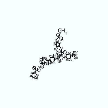 CCOC(=O)Cn1cc2c(n1)CCN(C(=O)[C@H](Cc1ccc([N+](=O)[O-])cc1)NC(=O)c1ccc(C(=N)NC(=O)OCOC(=O)c3cccnc3)cc1)C2